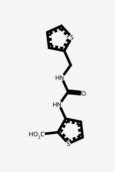 O=C(NCc1cccs1)Nc1ccsc1C(=O)O